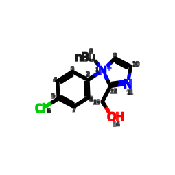 CCCC[N+]1(c2ccc(Cl)cc2)C=CN=C1CO